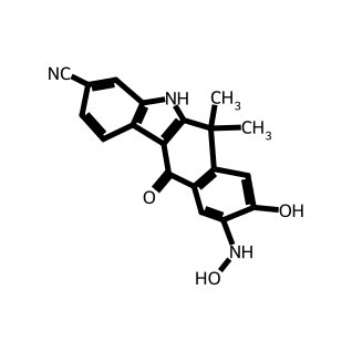 CC1(C)c2cc(O)c(NO)cc2C(=O)c2c1[nH]c1cc(C#N)ccc21